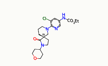 CCOC(=O)Nc1cnc(N2CCC[C@]3(CCN(C4CCOCC4)C3=O)C2)c(Cl)c1